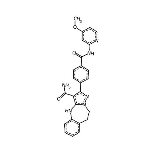 COc1ccnc(NC(=O)c2ccc(-c3nn4c(c3C(N)=O)Nc3ccccc3CC4)cc2)c1